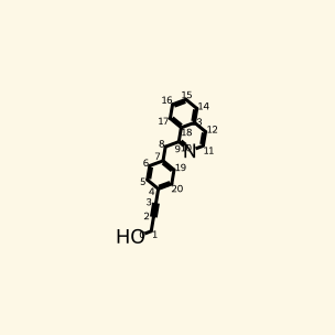 OCC#Cc1ccc(Cc2nccc3ccccc23)cc1